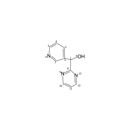 OC(c1cccnc1)c1ncccn1